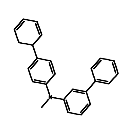 CN(c1ccc(C2C=CC=CC2)cc1)c1cccc(-c2ccccc2)c1